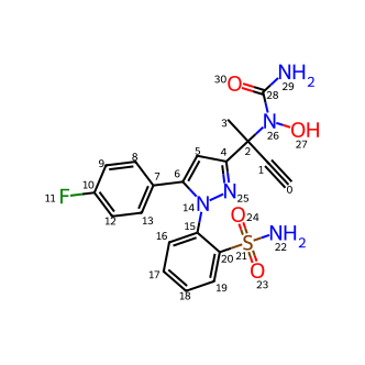 C#CC(C)(c1cc(-c2ccc(F)cc2)n(-c2ccccc2S(N)(=O)=O)n1)N(O)C(N)=O